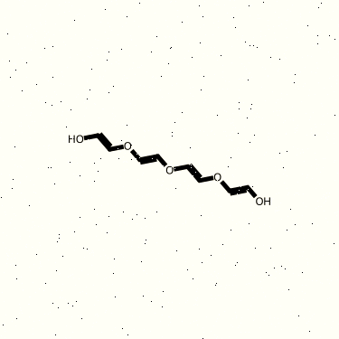 OC=COC=COC=COC=CO